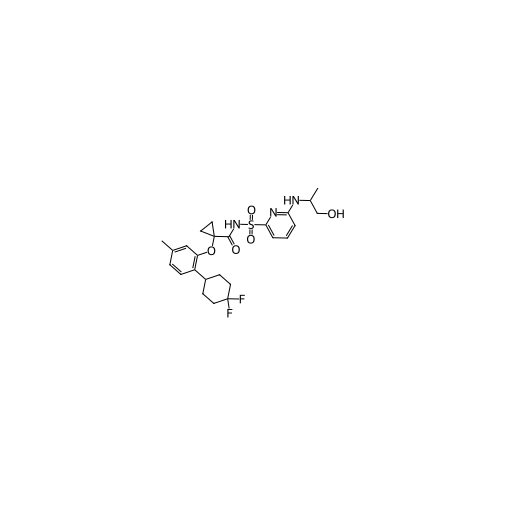 Cc1ccc(C2CCC(F)(F)CC2)c(OC2(C(=O)NS(=O)(=O)c3cccc(NC(C)CO)n3)CC2)c1